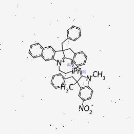 CC(C)CC[N+]1=C(/C=C/C=C2/N(C)c3ccc([N+](=O)[O-])cc3C2(C)Cc2ccccc2)C(Cc2ccccc2)(Cc2ccccc2)c2cc3ccccc3cc21